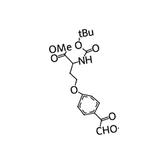 COC(=O)C(CCOc1ccc(C(=O)[C]=O)cc1)NC(=O)OC(C)(C)C